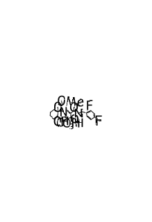 COCO[C@]12CCCC[C@@]1(C)C(=O)c1c(O)c(=O)c(C(=O)NCc3ccc(F)cc3F)cn1C2